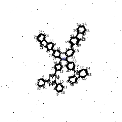 c1ccc(-c2nc(-c3ccccc3)nc(-c3ccc(/C(=C(/c4ccc(-c5ccc6c(c5)sc5ccccc56)cc4)c4ccc(-n5c6ccccc6c6ccccc65)cc4)c4ccc(-c5ccc6c(c5)sc5ccccc56)cc4)cc3)n2)cc1